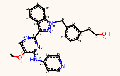 COc1cnc(-c2nn(Cc3cccc(CCO)c3)c3ccccc23)nc1Nc1ccncc1